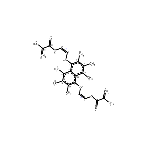 C=C(C)C(=O)O/C=C\Oc1c(C)c(C)c(C)c2c(O/C=C\OC(=O)C(=C)C)c(C)c(C)c(C)c12